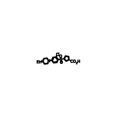 CCN1CCN(c2ccc(S(=O)(=O)[C@H]3CC[C@H](C(=O)O)C3)c(Cl)c2)CC1